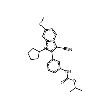 COc1ccc2c(C#N)c(-c3cccc(NC(=O)OC(C)C)c3)n(C3CCCC3)c2c1